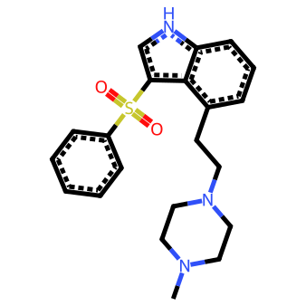 CN1CCN(CCc2cccc3[nH]cc(S(=O)(=O)c4ccccc4)c23)CC1